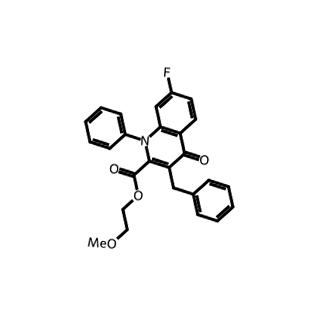 COCCOC(=O)c1c(Cc2ccccc2)c(=O)c2ccc(F)cc2n1-c1ccccc1